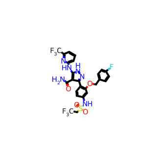 NC(=O)c1c(-c2ccc(NS(=O)(=O)CC(F)(F)F)cc2OCc2ccc(F)cc2)n[nH]c1Nc1cccc(C(F)(F)F)n1